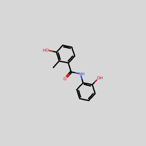 Cc1c(O)cccc1C(=O)Nc1[c]cccc1O